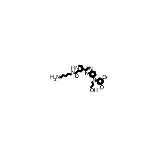 COc1cc(OC)cc(N(CCCO)c2ccc3ncc(-c4ccnc(C(=O)NCCCCCN)c4)nc3c2)c1